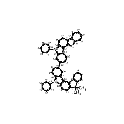 CC1(C)c2ccccc2-c2c1ccc1c2c2cc(-c3ccc4c5c6oc7ccccc7c6ccc5n(-c5ccccc5)c4c3)ccc2n1-c1ccccc1